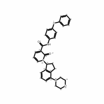 O=C(Nc1ccc(Oc2ccccc2)cc1)c1cccn(C2CCc3c2cccc3N2CCOCC2)c1=O